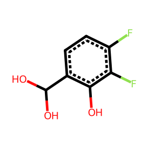 Oc1c(C(O)O)ccc(F)c1F